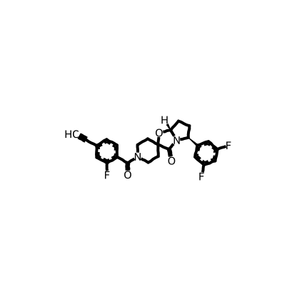 C#Cc1ccc(C(=O)N2CCC3(CC2)O[C@@H]2CC[C@@H](c4cc(F)cc(F)c4)N2C3=O)c(F)c1